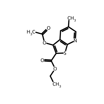 CCOC(=O)c1sc2ncc(C)cc2c1OC(C)=O